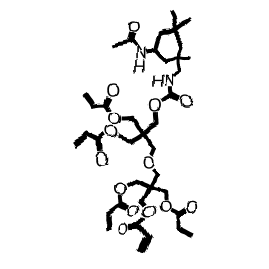 C=CC(=O)OCC(COCC(COC(=O)C=C)(COC(=O)C=C)COC(=O)NCC1(C)CC(NC(C)=O)CC(C)(C)C1)(COC(=O)C=C)COC(=O)C=C